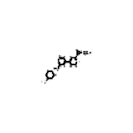 C[C@H]1CC[C@H](COc2cc(-c3ccnc([C@H]4C[C@@H]4C(=O)O)c3)cnn2)CC1